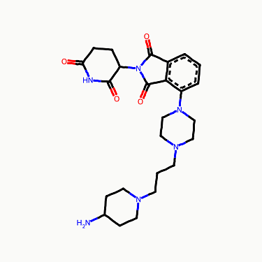 NC1CCN(CCCN2CCN(c3cccc4c3C(=O)N(C3CCC(=O)NC3=O)C4=O)CC2)CC1